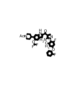 CC(=O)N1CCC(c2cc3[nH]c(C(=O)c4cnn(-c5c(C)cc(Oc6ccccc6F)cc5F)c4N)cc3cc2OC(F)F)CC1